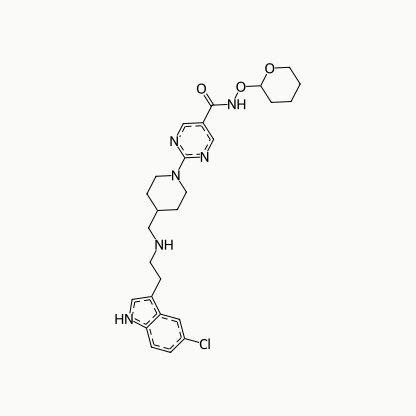 O=C(NOC1CCCCO1)c1cnc(N2CCC(CNCCc3c[nH]c4ccc(Cl)cc34)CC2)nc1